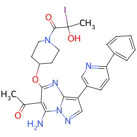 CC(=O)c1c(OC2CCN(C(=O)C(C)(O)I)CC2)nc2c(-c3ccc(-c4ccccc4)nc3)cnn2c1N